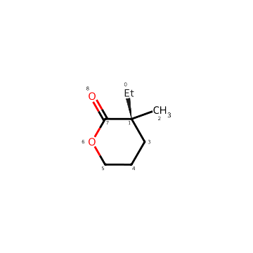 CC[C@@]1(C)CCCOC1=O